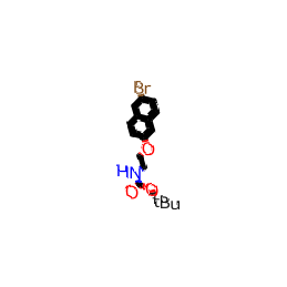 CC(C)(C)OC(=O)NCCOc1ccc2cc(Br)ccc2c1